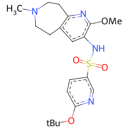 COc1nc2c(cc1NS(=O)(=O)c1ccc(OC(C)(C)C)nc1)CCN(C)CC2